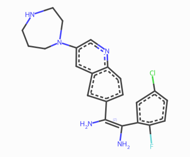 N/C(=C(\N)c1cc(Cl)ccc1F)c1ccc2ncc(N3CCCNCC3)cc2c1